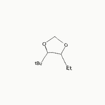 CCC1OCOC1C(C)(C)C